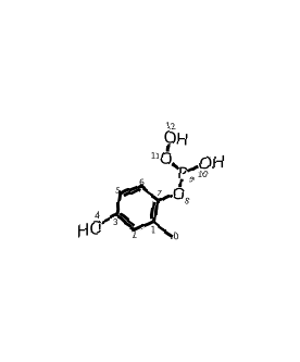 Cc1cc(O)ccc1OP(O)OO